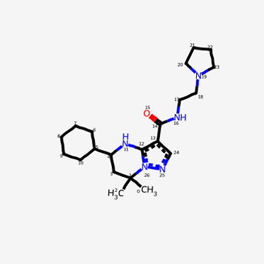 CC1(C)CC(C2CCCCC2)Nc2c(C(=O)NCCN3CCCC3)cnn21